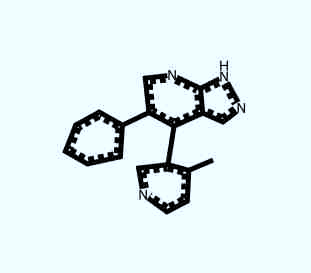 Cc1ccncc1-c1c(-c2ccccc2)cnc2[nH]ncc12